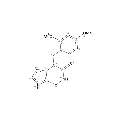 COc1ccc(CN2C(=S)NCc3[nH]ccc32)c(OC)c1